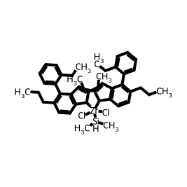 CCCc1ccc2c(c1-c1ccccc1CC)C=C(CC)[CH]2[Zr]([Cl])([Cl])([CH]1C(CC)=Cc2c1ccc(CCC)c2-c1ccccc1CC)[SiH](C)C